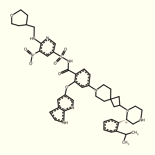 CC(C)c1ccccc1[C@H]1CNCCN1C1CC2(CCN(c3ccc(C(=O)NS(=O)(=O)c4cnc(NCC5CCOCC5)c([N+](=O)[O-])c4)c(Oc4cnc5[nH]ccc5c4)c3)CC2)C1